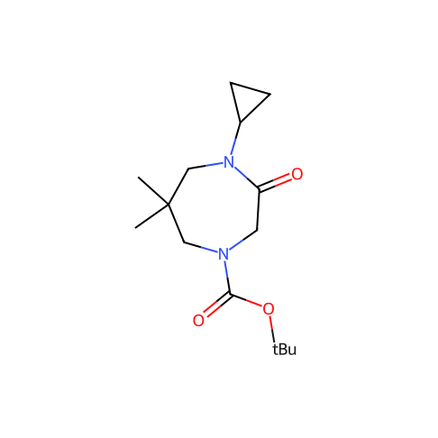 CC1(C)CN(C(=O)OC(C)(C)C)CC(=O)N(C2CC2)C1